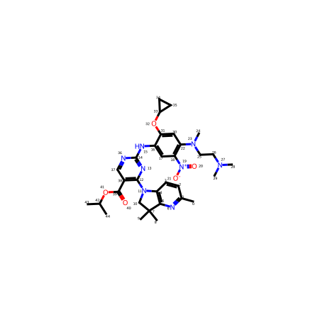 Cc1ccc2c(n1)C(C)(C)CN2c1nc(Nc2cc([N+](=O)[O-])c(N(C)CCN(C)C)cc2OC2CC2)ncc1C(=O)OC(C)C